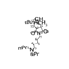 CCCN(CCC)CCCCCN1C(=O)CC(CC(C)(C)C(C)(C)C)C1=O